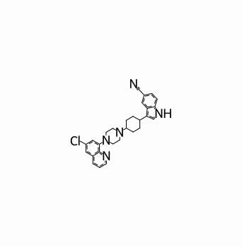 N#Cc1ccc2[nH]cc(C3CCC(N4CCN(c5cc(Cl)cc6cccnc56)CC4)CC3)c2c1